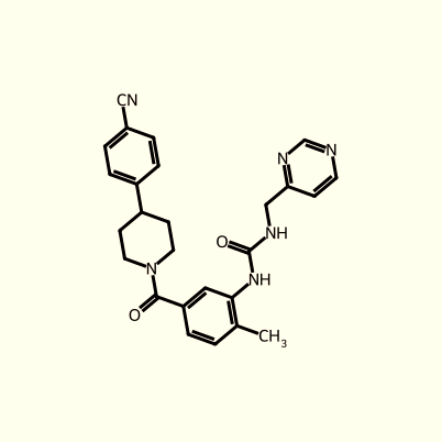 Cc1ccc(C(=O)N2CCC(c3ccc(C#N)cc3)CC2)cc1NC(=O)NCc1ccncn1